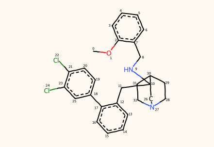 COc1ccccc1CNC1(Cc2ccccc2-c2ccc(Cl)c(Cl)c2)CN2CCC1CC2